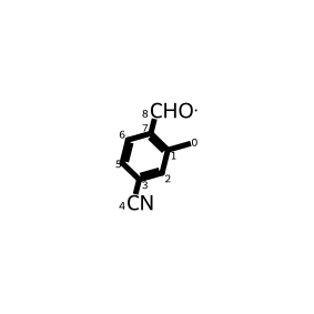 Cc1cc(C#N)ccc1[C]=O